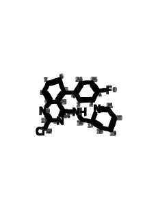 Fc1ccc(-c2cccc3nc(Cl)nc(NCc4ccccn4)c23)cc1